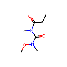 CCC(=O)N(C)C(=O)N(C)OC